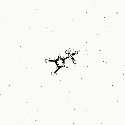 O=S(=O)(Cl)c1nc(Cl)c(Cl)s1